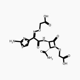 NC(=O)[C@@H]1[C@@H](NC(=O)/C(=N\OCC(=O)O)c2csc(N)n2)C(=O)N1OCC(=O)O